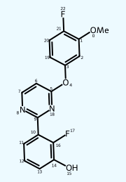 COc1cc(Oc2ccnc(-c3cccc(O)c3F)n2)ccc1F